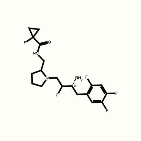 N[C@H](Cc1cc(F)c(F)cc1F)C(F)CN1CCCC1CNC(=O)C1(F)CC1